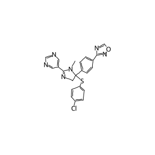 CN1C(c2cncnc2)=NCC1(Sc1ccc(Cl)cc1)c1ccc(-c2ncon2)cc1